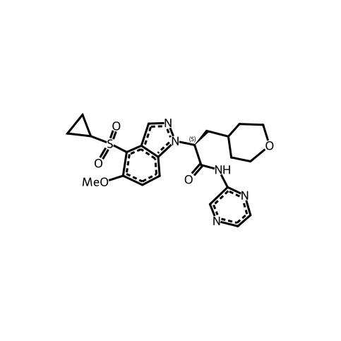 COc1ccc2c(cnn2[C@@H](CC2CCOCC2)C(=O)Nc2cnccn2)c1S(=O)(=O)C1CC1